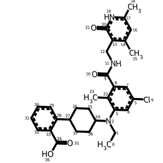 CCN(c1cc(Cl)cc(C(=O)NCc2c(C)cc(C)[nH]c2=O)c1C)C1CCC(c2ccccc2C(=O)O)CC1